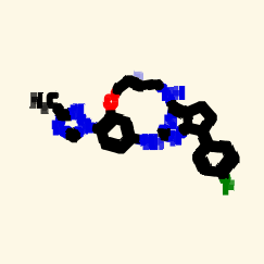 Cc1ncn(-c2ccc3cc2OC/C=C/CNc2nc(nc4c2CCC4c2ccc(F)cc2)N3)n1